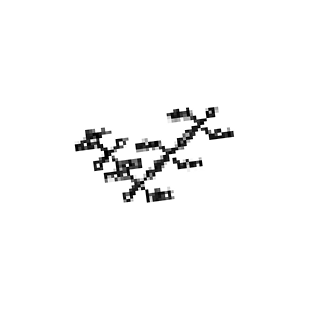 CCCCCCCCP(=O)([O-])CCCCCCCC.CCCCCCCCP(=O)([O-])CCCCCCCC.CCCCCCCCP(=O)([O-])CCCCCCCC.CCCCCCCCP(=O)([O-])CCCCCCCC.[Mo+4]